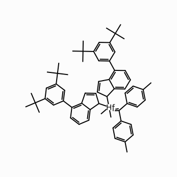 Cc1ccc([C](c2ccc(C)cc2)=[Hf]([CH3])([CH3])([CH]2C=Cc3c(-c4cc(C(C)(C)C)cc(C(C)(C)C)c4)cccc32)[CH]2C=Cc3c(-c4cc(C(C)(C)C)cc(C(C)(C)C)c4)cccc32)cc1